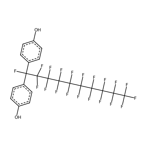 Oc1ccc(C(F)(c2ccc(O)cc2)C(F)(F)C(F)(F)C(F)(F)C(F)(F)C(F)(F)C(F)(F)C(F)(F)C(F)(F)C(F)(F)F)cc1